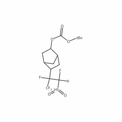 CC(C)(C)OC(=O)OC1CC2CC1CC2C(F)(C(F)(F)F)C(F)(F)[SH](=O)=O